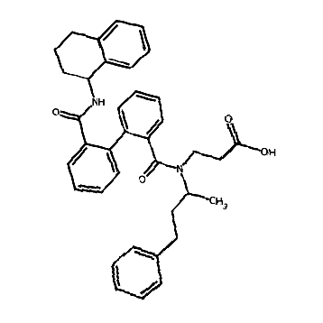 CC(CCc1ccccc1)N(CCC(=O)O)C(=O)c1ccccc1-c1ccccc1C(=O)NC1CCCc2ccccc21